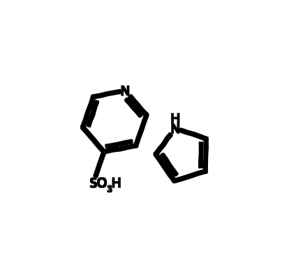 O=S(=O)(O)c1ccncc1.c1cc[nH]c1